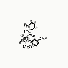 COc1ccc(OC)c([C@H]2CN(C)C(=O)[C@@H]2C(=O)Nc2ccccc2F)c1